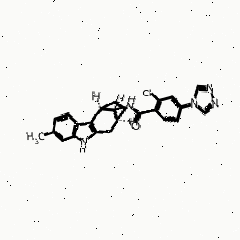 Cc1ccc2c3c([nH]c2c1)C[C@@H]1CC[C@H]3[C@@H]1NC(=O)c1ccc(-n2cnnc2)cc1Cl